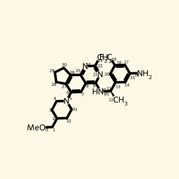 COCC1CCN(c2cc3c(N[C@H](C)c4cc(N)cc(C(F)(F)F)c4)nc(C)nc3c3c2CCC3)CC1